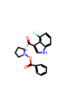 O=C(ON1CCC[C@@H]1C(=O)c1c[nH]c2cccc(F)c12)c1ccccc1